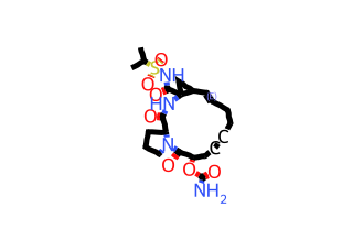 CC(C)S(=O)(=O)NC(=O)C12CC1/C=C/CCCCCC(OC(N)=O)C(=O)N1CCCC1C(=O)N2